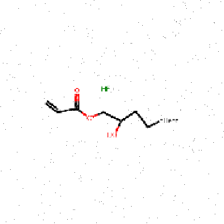 C=CC(=O)OCC(O)CCCCCCCCC.F